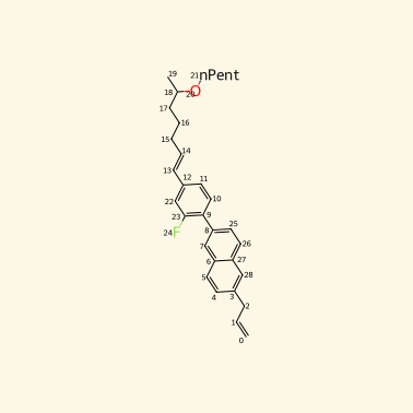 C=CCc1ccc2cc(-c3ccc(C=CCCCC(C)OCCCCC)cc3F)ccc2c1